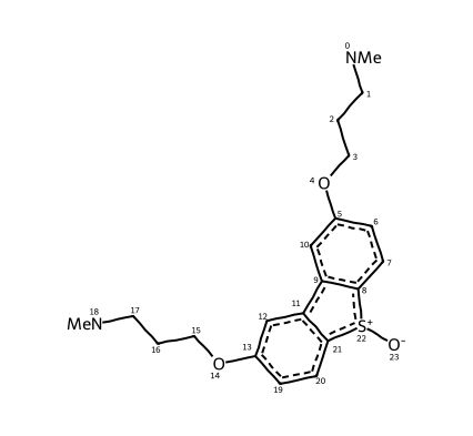 CNCCCOc1ccc2c(c1)c1cc(OCCCNC)ccc1[s+]2[O-]